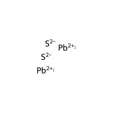 [Pb+2].[Pb+2].[S-2].[S-2]